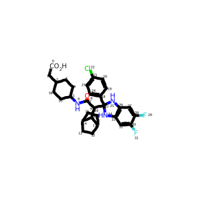 O=C(O)CC1CCC(NC(=O)C(C2C3CCC2CC3)C2(c3ccc(Cl)cc3)Nc3cc(F)c(F)cc3N2)CC1